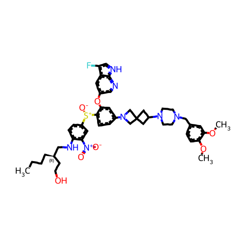 CCCC[C@H](CCO)CNc1ccc([S+]([O-])c2ccc(N3CC4(CC(N5CCN(Cc6ccc(OC)c(OC)c6)CC5)C4)C3)cc2Oc2cnc3[nH]cc(F)c3c2)cc1[N+](=O)[O-]